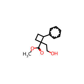 COC(=O)C1(CCO)CCC1c1ccccc1